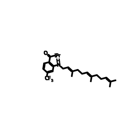 CC(C)=CCC/C(C)=C/CC/C(C)=C/CNc1cc(C(F)(F)F)ccc1C(=O)C(C)C